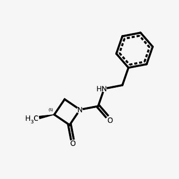 C[C@H]1CN(C(=O)NCc2ccccc2)C1=O